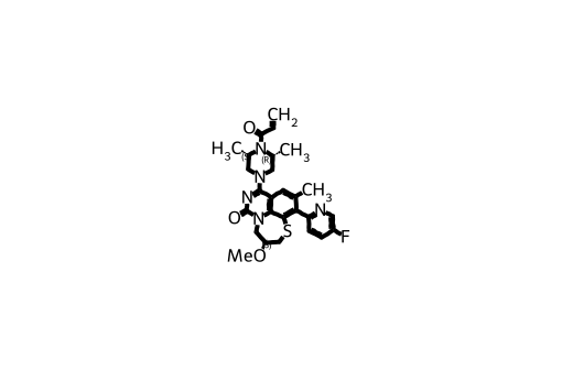 C=CC(=O)N1[C@H](C)CN(c2nc(=O)n3c4c(c(-c5ccc(F)cn5)c(C)cc24)SC[C@@H](OC)C3)C[C@@H]1C